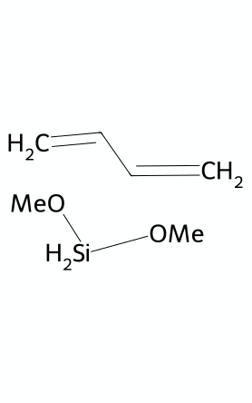 C=CC=C.CO[SiH2]OC